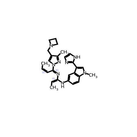 C\C=C/C(=N\C(=C\C)Nc1ccc2c(c1)c(-c1ncc[nH]1)cn2C)n1cc(CN2CCC2)c(C)n1